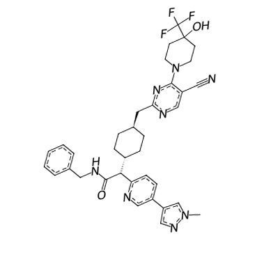 Cn1cc(-c2ccc(C(C(=O)NCc3ccccc3)[C@H]3CC[C@H](Cc4ncc(C#N)c(N5CCC(O)(C(F)(F)F)CC5)n4)CC3)nc2)cn1